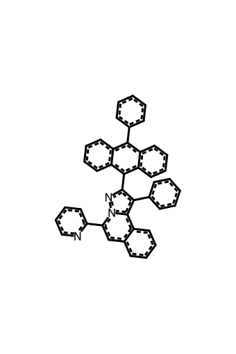 c1ccc(-c2c3ccccc3c(-c3nn4c(-c5ccccn5)cc5ccccc5c4c3-c3ccccc3)c3ccccc23)cc1